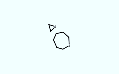 C1CCCSCC1.C1CS1